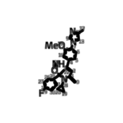 C=C(/C=C/c1ccc(-n2cnc(C)c2)c(OC)c1)N(C1CC1)C(C)(ON)c1ccc(F)cc1